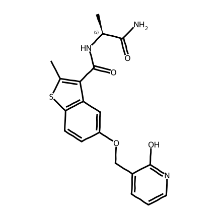 Cc1sc2ccc(OCc3cccnc3O)cc2c1C(=O)N[C@@H](C)C(N)=O